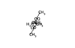 CCCCCC(=O)OCCN1C(C)(C)CC(OC(=O)CCCCC)CC1(C)C